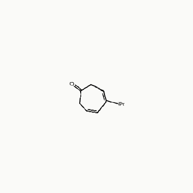 CC(C)C1=CCC(=O)CC=C1